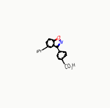 CC(C)c1ccc2onc(-c3ccc(C(=O)O)cc3)c2c1